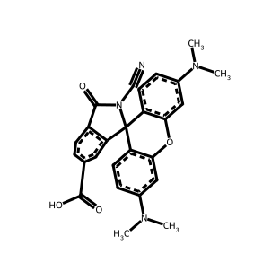 CN(C)c1ccc2c(c1)Oc1cc(N(C)C)ccc1C21c2cc(C(=O)O)ccc2C(=O)N1C#N